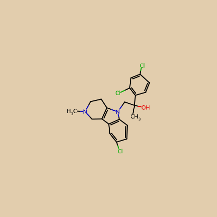 CN1CCc2c(c3cc(Cl)ccc3n2CC(C)(O)c2ccc(Cl)cc2Cl)C1